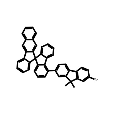 CC1(C)c2cc(Br)ccc2-c2ccc(-c3cccc4c3-c3ccccc3C43c4ccccc4-c4cc5ccccc5cc43)cc21